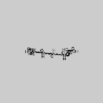 O=C(CCCCCNC(=O)CCCC[C@@H]1SC[C@@H]2NC(=O)N[C@@H]21)NCCCCCC(=O)Nc1ccc2nc(C(=O)O)cc(O)c2c1